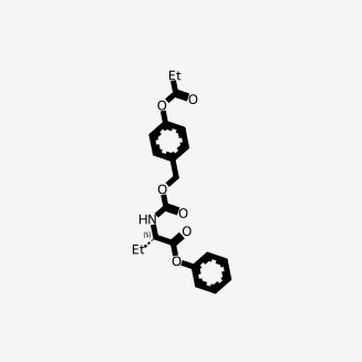 CCC(=O)Oc1ccc(COC(=O)N[C@@H](CC)C(=O)Oc2ccccc2)cc1